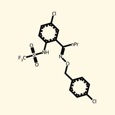 CCC/C(=N\OCc1ccc(Cl)cc1)c1cc(Cl)ccc1NS(=O)(=O)C(F)(F)F